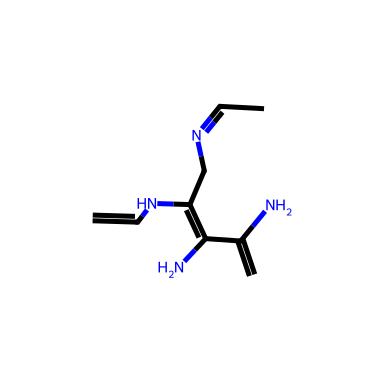 C=CN/C(C/N=C\C)=C(\N)C(=C)N